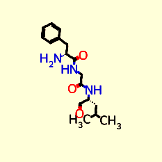 CC(C)C[C@H](C=O)NC(=O)CNC(=O)[C@H](N)Cc1ccccc1